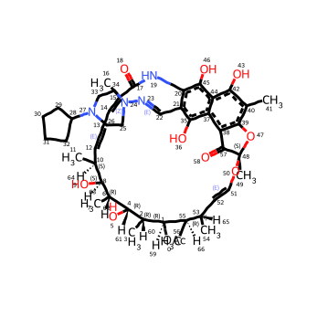 CC(=O)O[C@H]1[C@H](C)[C@H](O)[C@H](C)[C@@H](O)[C@@H](C)/C=C/C=C(/C)C(=O)Nc2c(/C=N/N3CCN(C4CCCC4)CC3)c(O)c3c4c(c(C)c(O)c3c2O)O[C@](C)(O/C=C/[C@H](C)[C@H]1C)C4=O